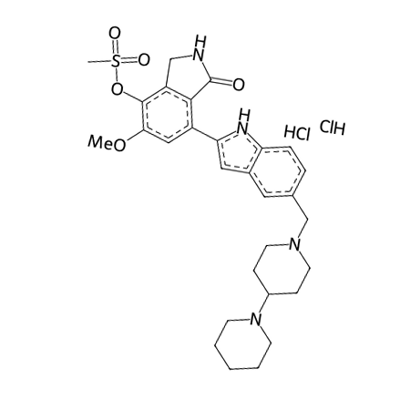 COc1cc(-c2cc3cc(CN4CCC(N5CCCCC5)CC4)ccc3[nH]2)c2c(c1OS(C)(=O)=O)CNC2=O.Cl.Cl